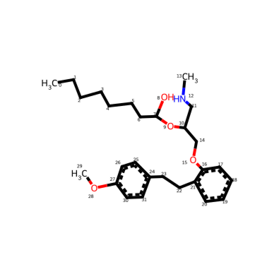 CCCCCCCC(O)OC(CNC)COc1ccccc1CCc1ccc(OC)cc1